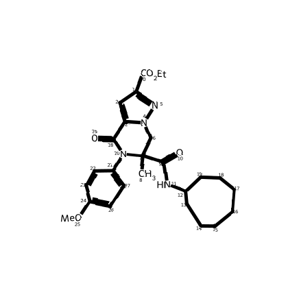 CCOC(=O)c1cc2n(n1)CC(C)(C(=O)NC1CCCCCCC1)N(c1ccc(OC)cc1)C2=O